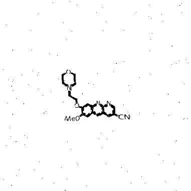 COc1cc2cc3cc(C#N)cnc3nc2cc1OCCN1CCOCC1